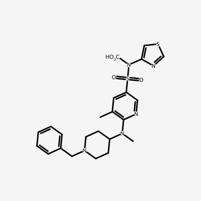 Cc1cc(S(=O)(=O)N(C(=O)O)c2cscn2)cnc1N(C)C1CCN(Cc2ccccc2)CC1